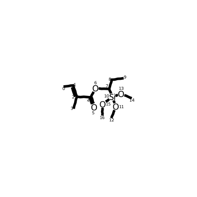 C/C=C(\C)C(=O)OC(CC)[Si](OC)(OC)OC